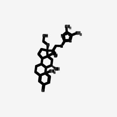 Cc1nc(SCC(=O)[C@@]2(OCO)CCC3C4CCC5=CC(=O)C=CC5(C)C4[C@@H](O)CC32C)sc1C